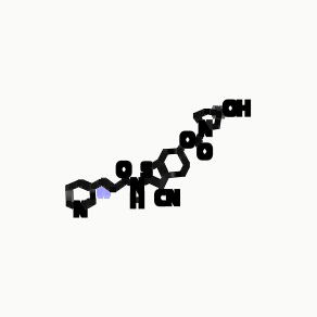 N#Cc1c(NC(=O)/C=C/c2cccnc2)sc2c1CCC(OC(=O)N1CC[C@H](O)C1)C2